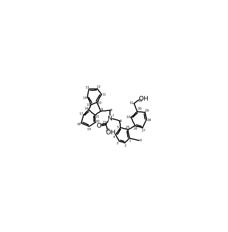 Cc1cccc(CN(CC2c3ccccc3-c3ccccc32)C(=O)O)c1-c1cccc(CO)c1